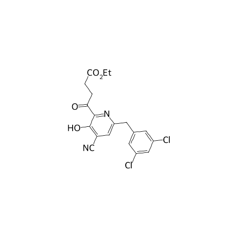 CCOC(=O)CCC(=O)c1nc(Cc2cc(Cl)cc(Cl)c2)cc(C#N)c1O